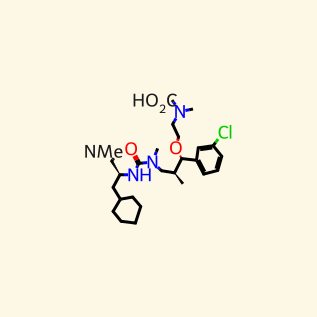 CNC[C@H](CC1CCCCC1)NC(=O)N(C)C[C@H](C)[C@H](OCCN(C)C(=O)O)c1cccc(Cl)c1